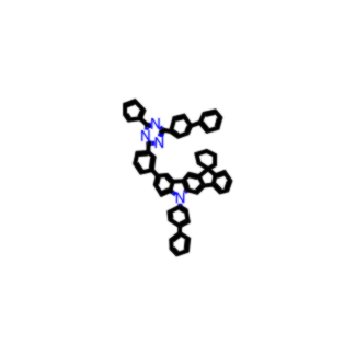 c1ccc(-c2ccc(-c3nc(-c4ccccc4)nc(-c4cccc(-c5ccc6c(c5)c5cc7c(cc5n6-c5ccc(-c6ccccc6)cc5)-c5ccccc5C75CCCCC5)c4)n3)cc2)cc1